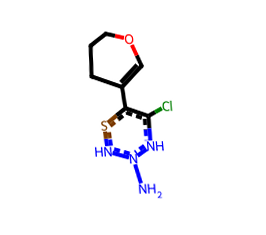 Nn1[nH]sc(C2=COCCC2)c(Cl)[nH]1